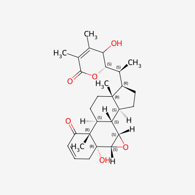 CC1=C(C)C(O)[C@H]([C@@H](C)[C@H]2CC[C@H]3[C@@H]4[C@@H]5O[C@@H]5[C@@]5(O)CC=CC(=O)[C@]5(C)[C@H]4CC[C@]23C)OC1=O